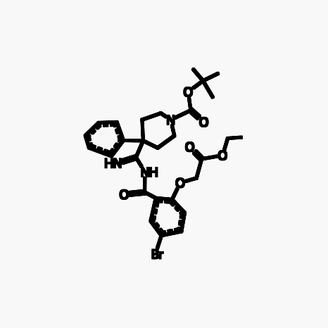 CCOC(=O)COc1ccc(Br)cc1C(=O)NC(=N)C1(c2ccccc2)CCN(C(=O)OC(C)(C)C)CC1